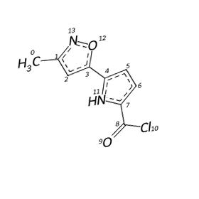 Cc1cc(-c2ccc(C(=O)Cl)[nH]2)on1